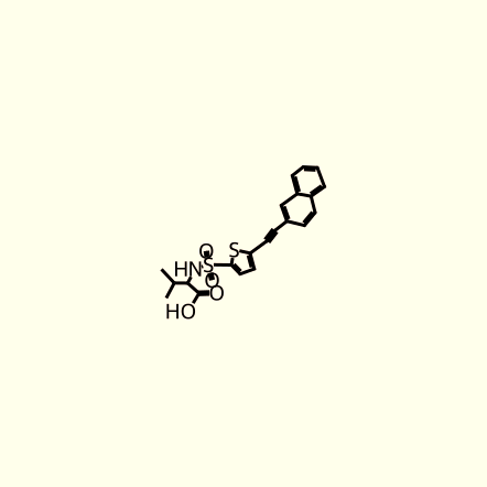 CC(C)C(NS(=O)(=O)c1ccc(C#Cc2ccc3ccccc3c2)s1)C(=O)O